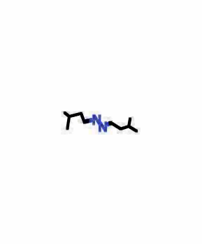 CC(C)CC=NN=CCC(C)C